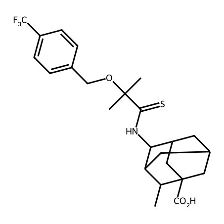 CC1C2CC3CC(CC1(C(=O)O)C3)C2NC(=S)C(C)(C)OCc1ccc(C(F)(F)F)cc1